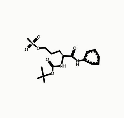 CC(C)(C)OC(=O)N[C@@H](CCCOS(C)(=O)=O)C(=O)Nc1ccccc1